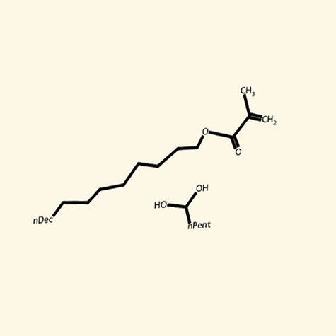 C=C(C)C(=O)OCCCCCCCCCCCCCCCCCC.CCCCCC(O)O